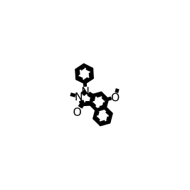 COc1cc2c(c(=O)n(C)n2-c2ccccc2)c2ccccc12